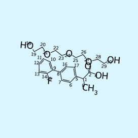 CC(C(=O)O)c1ccc(-c2ccccc2F)cc1.OCCOCCOCCOCCO